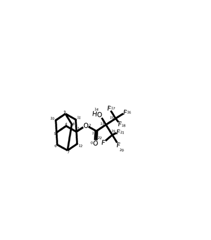 O=C(OC12CC3CC(CC(C3)C1)C2)C(O)(C(F)(F)F)C(F)(F)F